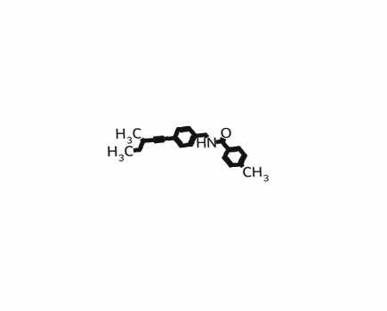 CCC(C)C#Cc1ccc(CNC(=O)c2ccc(C)cc2)cc1